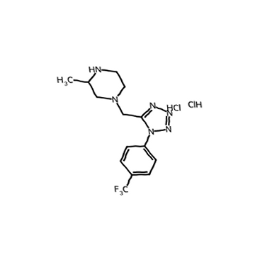 CC1CN(Cc2nnnn2-c2ccc(C(F)(F)F)cc2)CCN1.Cl.Cl